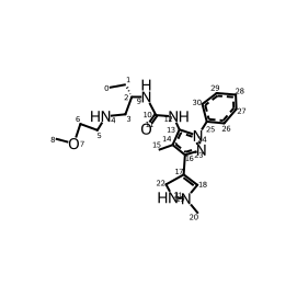 CC[C@@H](CNCCOC)NC(=O)Nc1c(C)c(C2=CN(C)NC2)nn1-c1ccccc1